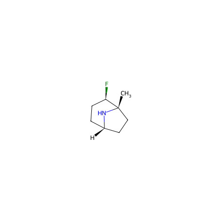 C[C@]12CC[C@H](CC[C@H]1F)N2